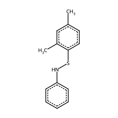 Cc1ccc(SNc2ccccc2)c(C)c1